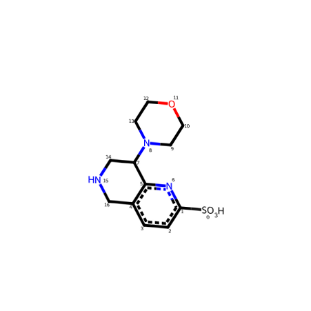 O=S(=O)(O)c1ccc2c(n1)C(N1CCOCC1)CNC2